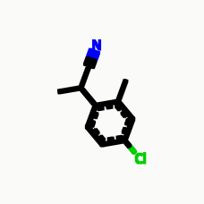 Cc1cc(Cl)ccc1C(C)C#N